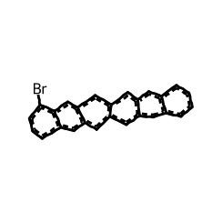 Brc1cccc2cc3cc4cc5cc6ccccc6cc5cc4cc3cc12